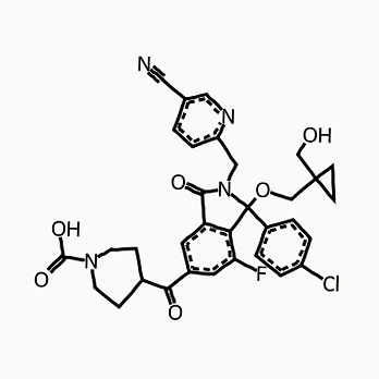 N#Cc1ccc(CN2C(=O)c3cc(C(=O)C4CCN(C(=O)O)CC4)cc(F)c3C2(OCC2(CO)CC2)c2ccc(Cl)cc2)nc1